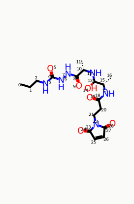 CCCNC(=O)NNC(=O)[C@H](C)NC(O)[C@H](C)NC(=O)CCN1C(=O)C=CC1=O